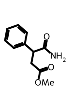 COC(=O)CC(C(N)=O)c1ccccc1